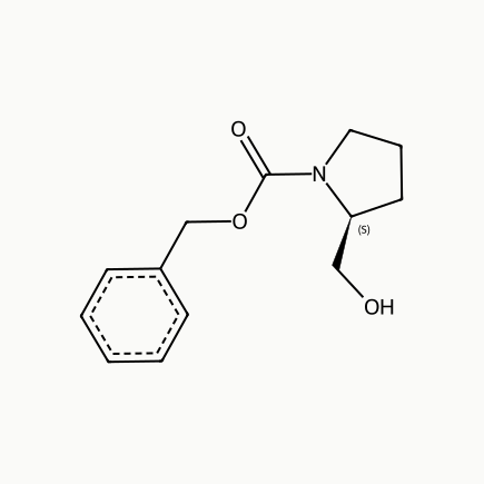 O=C(OCc1ccccc1)N1CCC[C@H]1CO